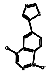 [O-][n+]1cn[n+]([O-])c2ccc(-c3cncs3)cc21